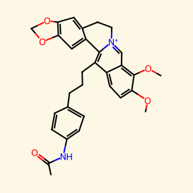 COc1ccc2c(CCCc3ccc(NC(C)=O)cc3)c3[n+](cc2c1OC)CCc1cc2c(cc1-3)OCO2